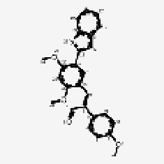 COc1ccc(C(C=O)=Cc2cc(-c3cc4ccccc4s3)c(OC)cc2OC)cc1